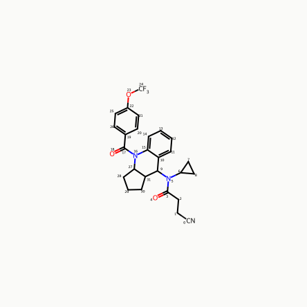 N#CCCC(=O)N(C1CC1)C1c2ccccc2N(C(=O)c2ccc(OC(F)(F)F)cc2)C2CCCC21